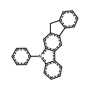 c1ccc(-n2c3ccccc3c3cc4c(cc32)Cc2ccccc2-4)cc1